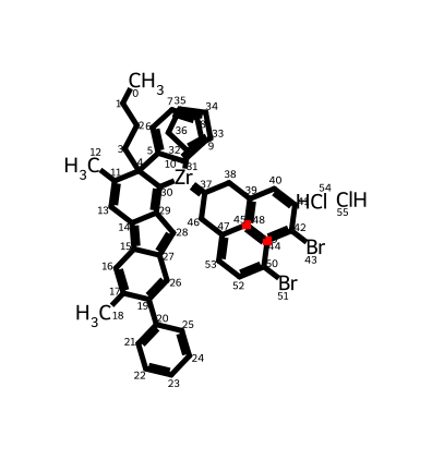 CCCCC1(c2ccccc2)C(C)=CC2=c3cc(C)c(-c4ccccc4)cc3=CC2=[C]1[Zr]([C]1=CC=CC1)=[C](Cc1ccc(Br)cc1)Cc1ccc(Br)cc1.Cl.Cl